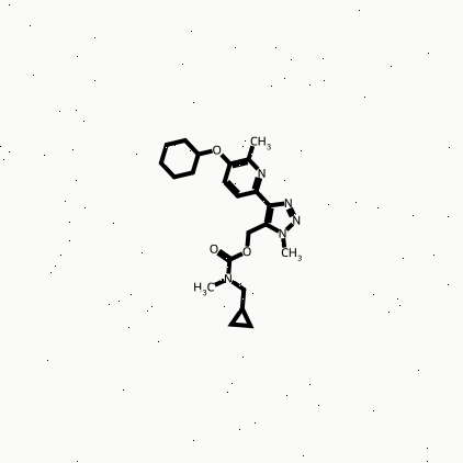 Cc1nc(-c2nnn(C)c2COC(=O)N(C)CC2CC2)ccc1OC1CCCCC1